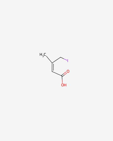 CC(=CC(=O)O)CI